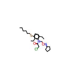 CCCCCCSc1ccc(CC)c(N(CON=C2CCCC2)C(=O)CCl)c1CC